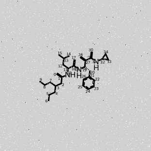 C=C(CC(CCC)CCC)NC(CC(C)C)C(=C)N[C@@H](Cc1ccccc1)C(=C)C(=C)NC1CC1